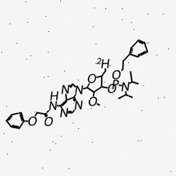 [2H]CC1OC(n2cnc3c(NC(=O)COc4ccccc4)ncnc32)C(OC)C1OP(OCCc1ccccc1)N(C(C)C)C(C)C